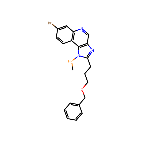 CPn1c(CCCOCc2ccccc2)nc2cnc3cc(Br)ccc3c21